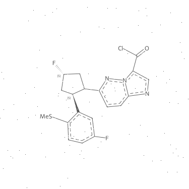 CSc1ccc(F)cc1[C@H]1C[C@H](F)CC1c1ccc2ncc(C(=O)Cl)n2n1